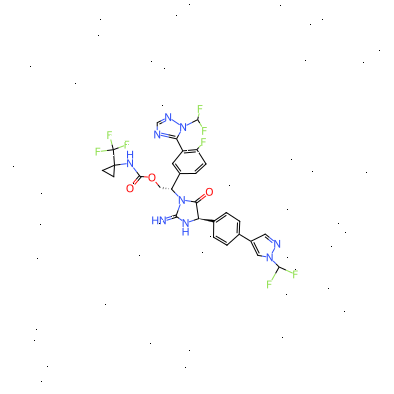 N=C1N[C@H](c2ccc(-c3cnn(C(F)F)c3)cc2)C(=O)N1[C@H](COC(=O)NC1(C(F)(F)F)CC1)c1ccc(F)c(-c2ncnn2C(F)F)c1